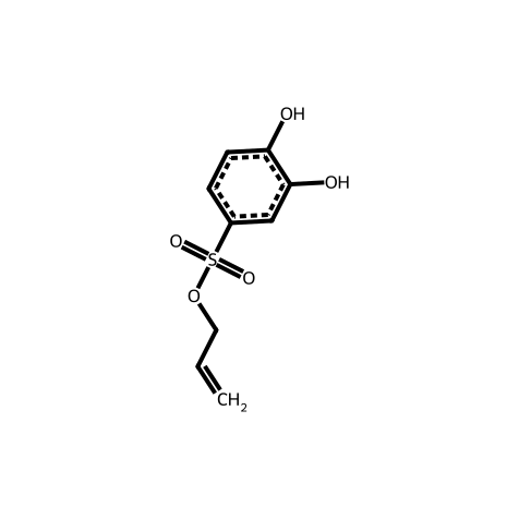 C=CCOS(=O)(=O)c1ccc(O)c(O)c1